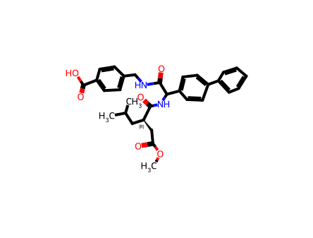 COC(=O)C[C@@H](CC(C)C)C(=O)NC(C(=O)NCc1ccc(C(=O)O)cc1)c1ccc(-c2ccccc2)cc1